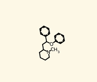 CN1CCCCC1CC(Oc1ccccc1)c1ccccc1